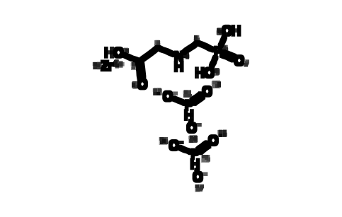 O=C(O)CNCP(=O)(O)O.O=[PH]([O-])[O-].O=[PH]([O-])[O-].[Zr+4]